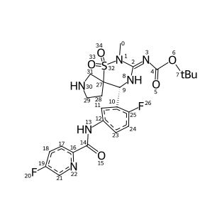 CN1C(=NC(=O)OC(C)(C)C)N[C@H](c2cc(NC(=O)c3ccc(F)cn3)ccc2F)C2(CCNC2)S1(=O)=O